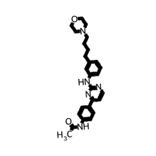 CC(=O)Nc1ccc(-c2ccnc(Nc3cccc(CCCCN4CCOCC4)c3)n2)cc1